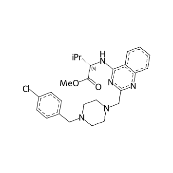 COC(=O)[C@@H](Nc1nc(CN2CCN(Cc3ccc(Cl)cc3)CC2)nc2ccccc12)C(C)C